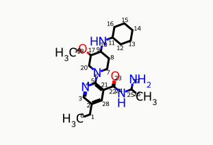 CCc1cnc(N2CCC(NC3CCCCC3)C(OC)C2)c(C(=O)NC(C)N)c1